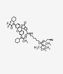 CC(=O)N(c1ccc2c(c1)Oc1cc(N(C(=O)C(F)(F)F)C3CCCCC3)ccc1C21OC(=O)c2ccc(C(=O)NCCCCCCOP(OCCC#N)N(C(C)C)C(C)C)cc21)C1CCCCC1